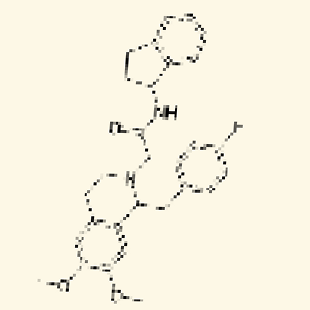 COc1cc2c(cc1OC)C(Cc1ccc(F)cc1)N(CC(=O)NC1CCc3ccccc31)CC2